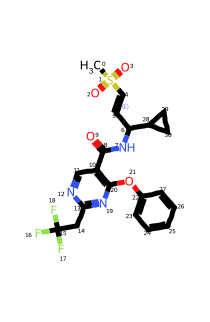 CS(=O)(=O)/C=C/C(NC(=O)c1cnc(CC(F)(F)F)nc1Oc1ccccc1)C1CC1